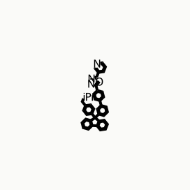 CC(C)Cc1ccc(C2(c3cccc(-c4ccc(-c5nnc(-c6cccnc6)o5)cc4)c3)c3ccccc3-c3ccccc32)cc1